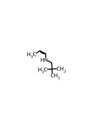 C/C=C\NCC(C)(C)C